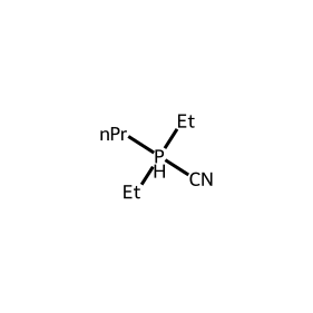 CCC[PH](C#N)(CC)CC